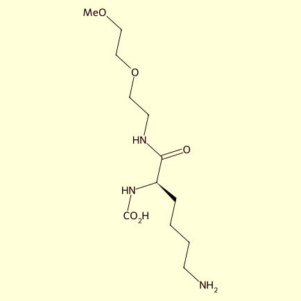 COCCOCCNC(=O)[C@@H](CCCCN)NC(=O)O